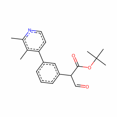 Cc1nccc(-c2cccc(C(C=O)C(=O)OC(C)(C)C)c2)c1C